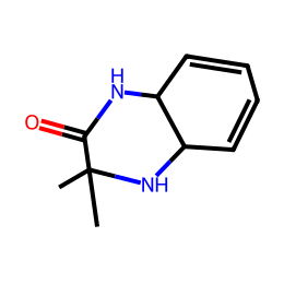 CC1(C)NC2C=CC=CC2NC1=O